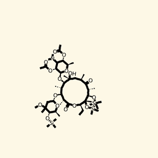 CC[C@H]1OC(=O)[C@H](C)[C@@H](O[C@H]2CC(C)(OC)[C@@H](O[Si](C)(C)C)[C@H](C)O2)[C@H](C)[C@@H](O[C@@H]2O[C@H](C)[C@@H](OC(C)=O)C(N(C)C)[C@H]2OC(C)=O)[C@](C)(O)C[C@@H](C)C(=O)[C@H](C)[C@@H](O[Si](C)(C)C)[C@]1(C)O[Si](C)(C)C